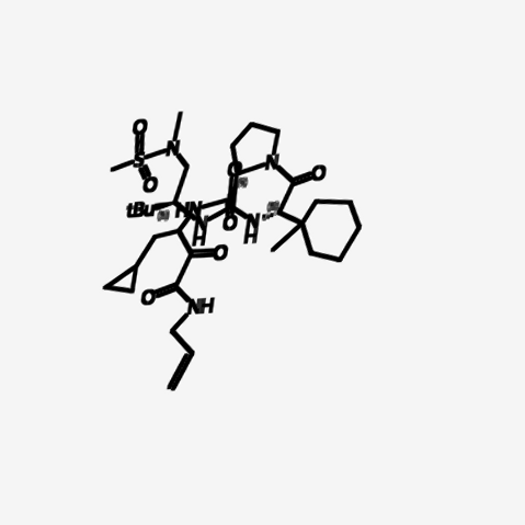 C=CCNC(=O)C(=O)C(CC1CC1)NC(=O)[C@@H]1CCCN1C(=O)[C@@H](NC(=O)N[C@H](CN(C)S(C)(=O)=O)C(C)(C)C)C1(C)CCCCC1